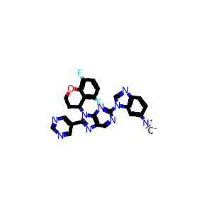 [C-]#[N+]c1ccc2ncn(-c3ncc4nc(-c5cncnc5)n(C5CCOc6c(F)ccc(F)c65)c4n3)c2c1